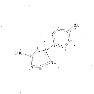 CC(C)(C)c1ccc(-c2cc(C=O)ncn2)cc1